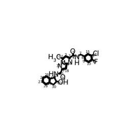 Cc1cc(C(=O)NCc2ccc(F)c(Cl)c2)nc2cc(C(=O)NC3c4ccccc4CC3O)nn12